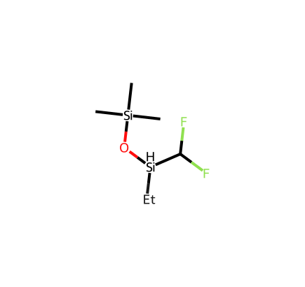 CC[SiH](O[Si](C)(C)C)C(F)F